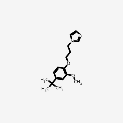 COc1cc(C(C)(C)C)ccc1OCCCn1ccnc1